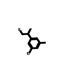 [CH2]C(CF)c1cc(C)cc(Cl)c1